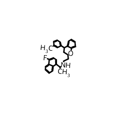 Cc1cccc(C2CC(CCNC(C)c3ccc(F)c4ccccc34)Oc3ccccc32)c1